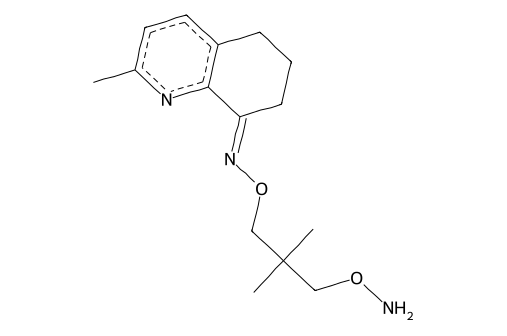 Cc1ccc2c(n1)C(=NOCC(C)(C)CON)CCC2